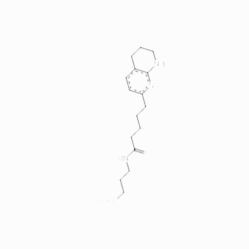 O=C(O)CCCNC(=O)CCCCc1ccc2c(n1)NCCC2